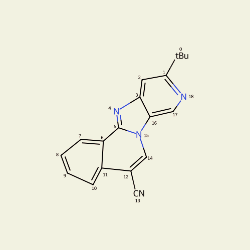 CC(C)(C)c1cc2nc3c4ccccc4c(C#N)cn3c2cn1